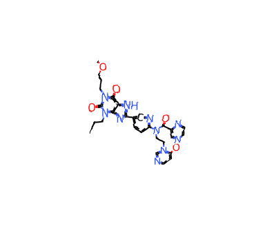 CCCn1c(=O)n(CCCOC)c(=O)c2[nH]c(-c3ccc(N(CCn4cnccc4=O)C(=O)c4cnccn4)nc3)nc21